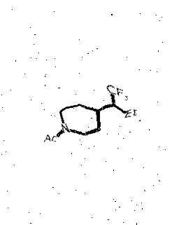 CCC(C1CCN(C(C)=O)CC1)C(F)(F)F